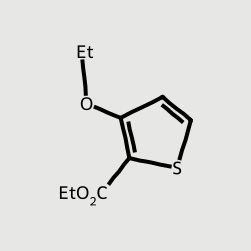 CCOC(=O)c1sccc1OCC